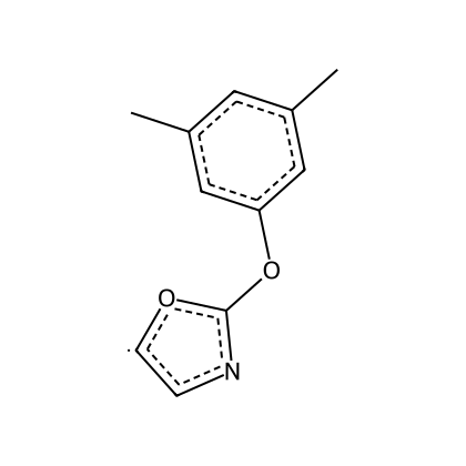 Cc1cc(C)cc(Oc2nc[c]o2)c1